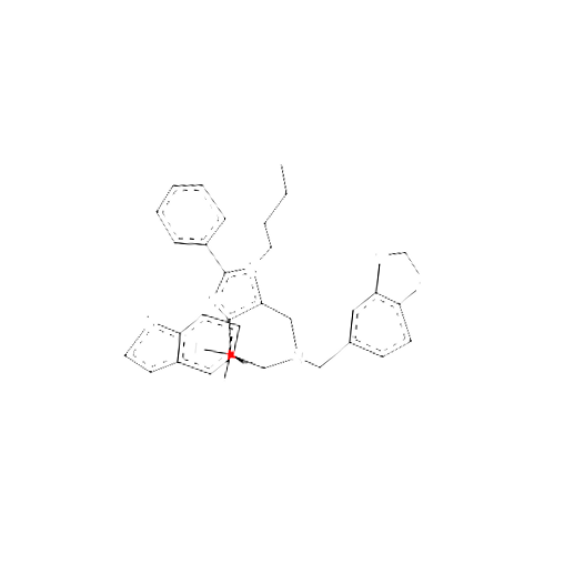 CCCCn1c(-c2ccccc2)nc(C(F)(F)F)c1CN(Cc1ccc2c(c1)OCO2)Cc1ccc2[nH]ccc2c1